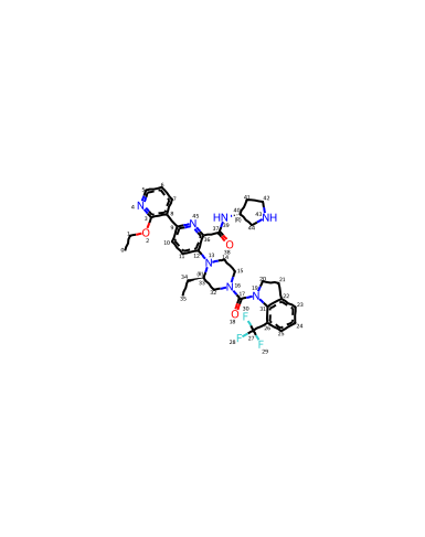 CCOc1ncccc1-c1ccc(N2CCN(C(=O)N3CCc4cccc(C(F)(F)F)c43)C[C@H]2CC)c(C(=O)N[C@@H]2CCNC2)n1